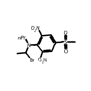 CCCN(c1c([N+](=O)[O-])cc(S(C)(=O)=O)cc1[N+](=O)[O-])C(C)Br